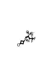 O=C1CC(n2cc([N+](=O)[O-])c(C(F)(F)F)n2)C1